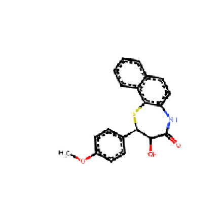 COc1ccc([C@H]2Sc3c(ccc4ccccc34)NC(=O)C2O)cc1